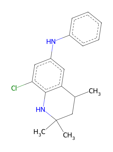 CC1CC(C)(C)Nc2c(Cl)cc(Nc3ccccc3)cc21